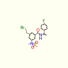 C[C@@H](NC(=O)c1cc(CCBr)cc(N(C)S(C)(=O)=O)c1)c1ccc(F)cc1